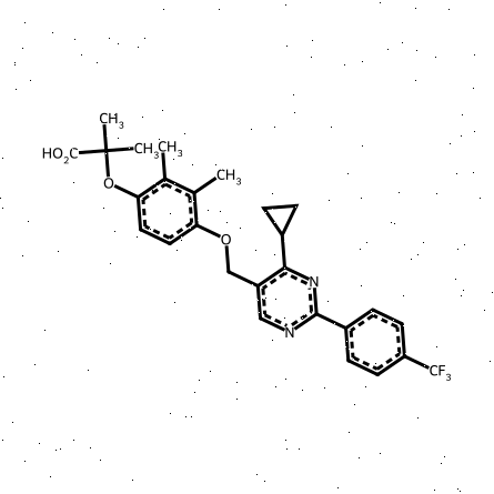 Cc1c(OCc2cnc(-c3ccc(C(F)(F)F)cc3)nc2C2CC2)ccc(OC(C)(C)C(=O)O)c1C